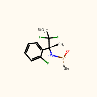 CCOC(=O)C(F)(F)[C@](C)(N[S@+]([O-])C(C)(C)C)c1ccccc1F